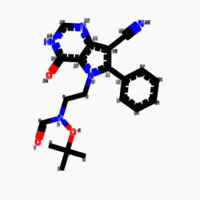 CC(C)(C)ON(C=O)CCn1c(-c2ccccc2)c(C#N)c2nc[nH]c(=O)c21